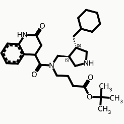 CC(C)(C)OC(=O)CCCN(C[C@@H]1CNC[C@H]1CC1CCCCC1)C(=O)C1CC(=O)Nc2ccccc21